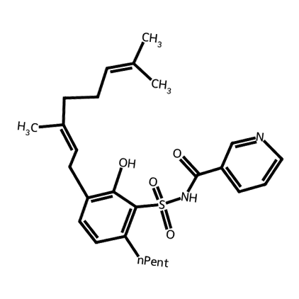 CCCCCc1ccc(C/C=C(\C)CCC=C(C)C)c(O)c1S(=O)(=O)NC(=O)c1cccnc1